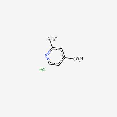 Cl.O=C(O)c1ccnc(C(=O)O)c1